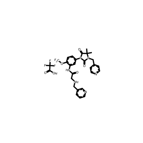 CC1(C)C(=O)N(c2ccc(OC(F)(F)F)c(NC(=O)CNCc3cccnc3)c2)C(=O)N1Cc1ccncc1.O=C(O)C(F)(F)F